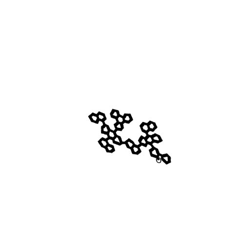 c1ccc2c(-c3ccc4c(-c5cccc6ccccc56)c5ccc(-c6ccc7c(-c8ccc9c(-c%10cccc%11ccccc%10%11)c%10ccccc%10c(-c%10ccc%11oc%12ccccc%12c%11c%10)c9c8)cccc7c6)cc5c(-c5ccc6c7ccccc7c7ccccc7c6c5)c4c3)cccc2c1